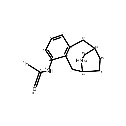 O=C(F)Nc1cccc2c1CC1CCC(CN1)C2